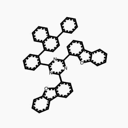 c1ccc(-c2ccc(-c3ccccc3-c3nc(-c4cccc5c4oc4ccccc45)nc(-c4cccc5c4oc4ccccc45)n3)c3ccccc23)cc1